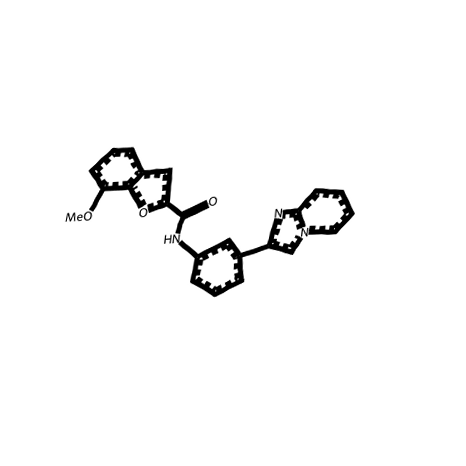 COc1cccc2cc(C(=O)Nc3cccc(-c4cn5ccccc5n4)c3)oc12